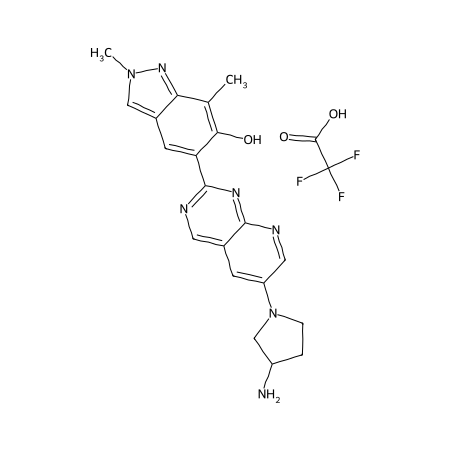 Cc1c(O)c(-c2ncc3cc(N4CCC(N)C4)cnc3n2)cc2cn(C)nc12.O=C(O)C(F)(F)F